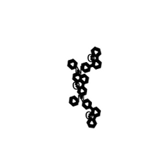 c1ccc(N(c2ccc(-c3cccc4c3oc3ccccc34)cc2)c2ccc3c(c2)Oc2ccc(N(c4ccccc4)c4ccc(-c5cccc6c5oc5ccccc56)cc4)c4cccc-3c24)cc1